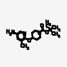 Cc1cc(N)cnc1OC1CCN(C(=O)OC(C)(C)C)CC1